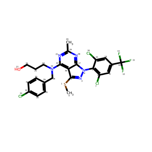 CSc1nn(-c2c(Cl)cc(C(F)(F)F)cc2Cl)c2nc(C)nc(N(CCCO)Cc3ccc(Cl)cc3)c12